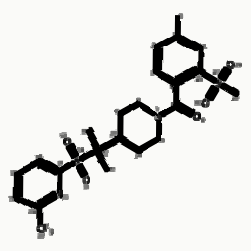 Cc1ccc(C(=O)N2CCC(C(C)(C)S(=O)(=O)c3cccc(C(F)(F)F)n3)CC2)c(S(C)(=O)=O)c1